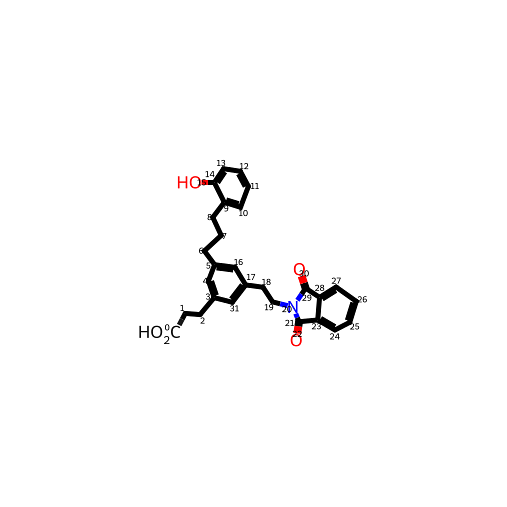 O=C(O)CCc1cc(CCCc2ccccc2O)cc(CCN2C(=O)c3ccccc3C2=O)c1